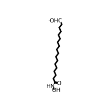 O=[C]CCCCCCCCCCCCCCCCC(=O)NO